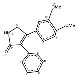 COc1ccc(C2=C(c3ccccc3)C(=O)NC2)cc1OC